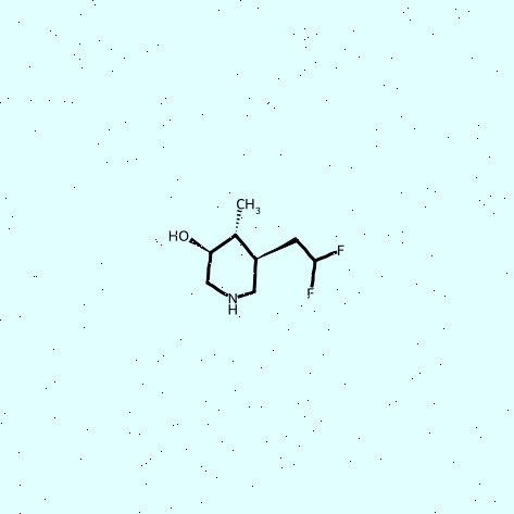 C[C@@H]1[C@@H](CC(F)F)CNC[C@H]1O